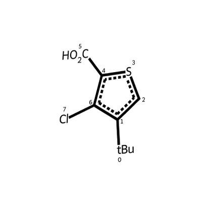 CC(C)(C)c1csc(C(=O)O)c1Cl